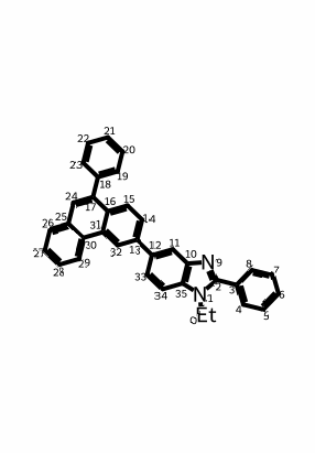 CCn1c(-c2ccccc2)nc2cc(-c3ccc4c(-c5ccccc5)cc5ccccc5c4c3)ccc21